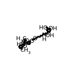 CC(=O)ON(C(=O)Nc1cccc(C)c1)c1cccc(COCCOCCCCCCNC[C@@H](O)c2ccc(O)c(CO)c2)c1